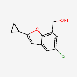 OCc1cc(Cl)cc2cc(C3CC3)oc12